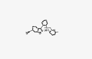 Cc1cccc(C[C@H](N)c2ccccc2-c2noc3cc(C#N)ccc23)n1